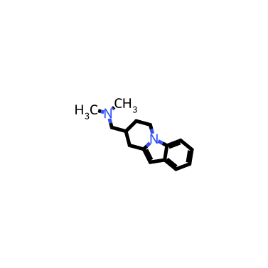 CN(C)CC1CCn2c(cc3ccccc32)C1